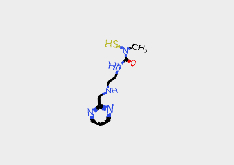 CN(S)C(=O)NCCNCc1ncccn1